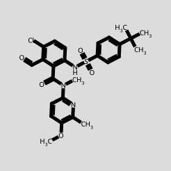 COc1ccc(N(C)C(=O)c2c(NS(=O)(=O)c3ccc(C(C)(C)C)cc3)ccc(Cl)c2C=O)nc1C